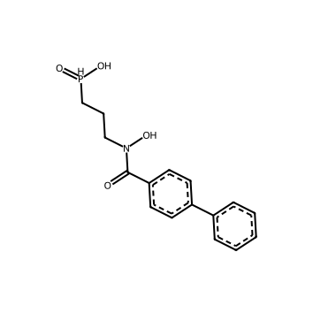 O=C(c1ccc(-c2ccccc2)cc1)N(O)CCC[PH](=O)O